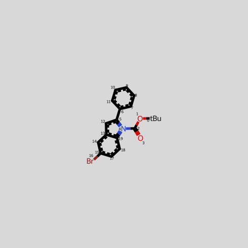 CC(C)(C)OC(=O)n1c(-c2ccccc2)cc2cc(Br)ccc21